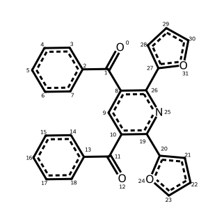 O=C(c1ccccc1)c1cc(C(=O)c2ccccc2)c(-c2ccco2)nc1-c1ccco1